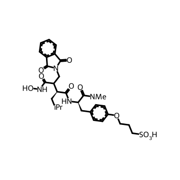 CNC(=O)[C@@H](Cc1ccc(OCCCS(=O)(=O)O)cc1)NC(=O)[C@@H](CC(C)C)C(CN1C(=O)c2ccccc2C1=O)C(=O)NO